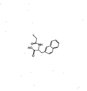 O=C(CI)NC(Cc1ccc2ccccc2c1)C(=O)O